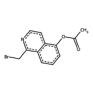 CC(=O)Oc1cccc2c(CBr)nccc12